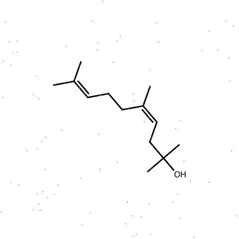 CC(C)=CCC/C(C)=C\CC(C)(C)O